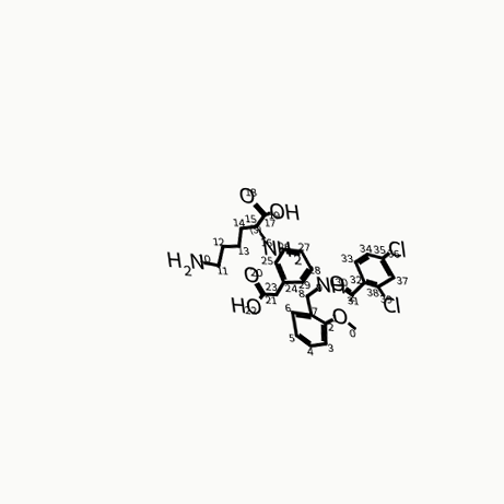 COc1ccccc1CN.NCCCC[C@H](N)C(=O)O.O=C(O)Cc1ccccc1.O=Cc1ccc(Cl)cc1Cl